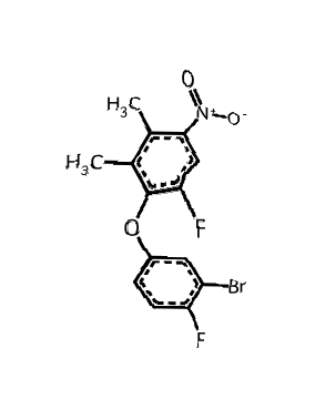 Cc1c([N+](=O)[O-])cc(F)c(Oc2ccc(F)c(Br)c2)c1C